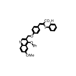 COc1ccc2ncc(COc3ccc(C=C(Sc4ccccc4)C(=O)O)cc3)c(OC(C)C)c2c1